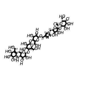 CC1O[C@H](O[C@@H]2C(CO)O[C@H](O[C@@H]3C(CO)O[C@@H](OCc4cn(C[C@H]5O[C@@](CCl)(O[C@H]6O[C@H](CO)[C@H](Cl)[C@H](O)[C@H]6O)[C@@H](O)[C@@H]5O)nn4)C(O)C3O)C(O)C2O)C(O)C(O)[C@@H]1N[C@H]1C=C(CO)[C@@H](O)[C@H](O)[C@H]1O